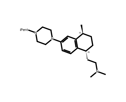 CCCC(C)N1CCN(c2ccc3c(c2)[C@@H](C)CC[C@@H]3CCN(C)C)CC1